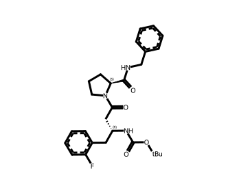 CC(C)(C)OC(=O)N[C@@H](CC(=O)N1CCC[C@H]1C(=O)NCc1ccccc1)Cc1ccccc1F